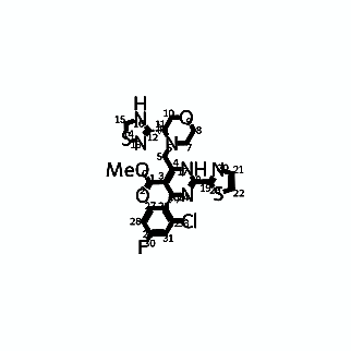 COC(=O)C1=C(CN2CCOC[C@H]2C2=NSCN2)NC(c2nccs2)=N[C@H]1c1ccc(F)cc1Cl